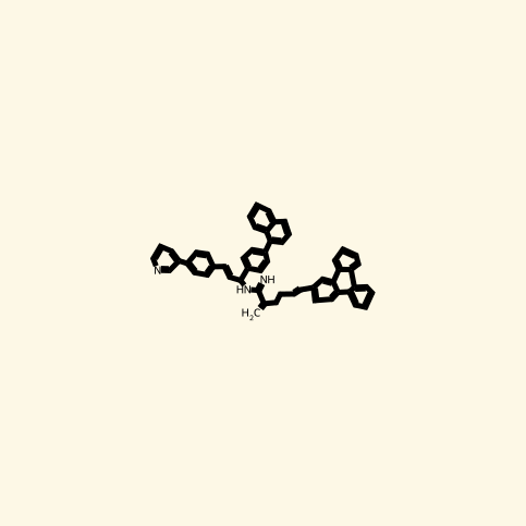 C=C(CC/C=C/c1ccc2c3ccccc3c3ccccc3c2c1)C(=N)NC(/C=C/c1ccc(-c2cccnc2)cc1)c1ccc(-c2cccc3ccccc23)cc1